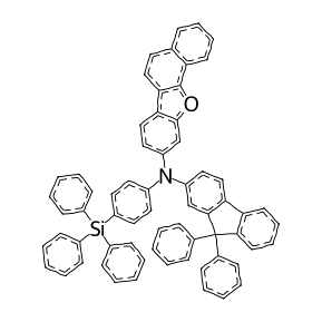 c1ccc(C2(c3ccccc3)c3ccccc3-c3ccc(N(c4ccc([Si](c5ccccc5)(c5ccccc5)c5ccccc5)cc4)c4ccc5c(c4)oc4c6ccccc6ccc54)cc32)cc1